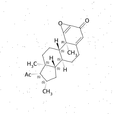 CC(=O)[C@H]1[C@@H](C)C[C@H]2[C@@H]3CCC4=CC(=O)C5=C(O5)[C@]4(C)[C@H]3CC[C@@]21C